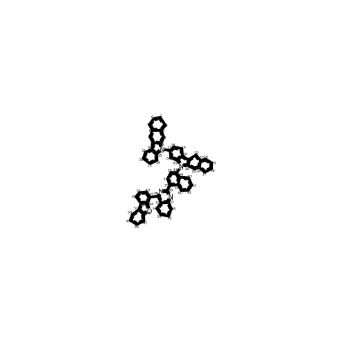 c1ccc2cc3c(cc2c1)c1ccccc1n3-c1ccc2c3cc4ccccc4cc3n(-c3ccc(-c4nc(-c5cccc6c5oc5ccccc56)c5ccccc5n4)c4ccccc34)c2c1